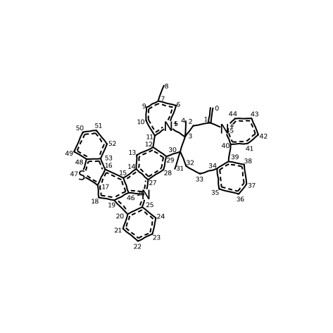 C=C1CC2(C)[n+]3cc(C)ccc3-c3cc4c5c6c(cc7c8ccccc8n(c4cc3C2(C)CCc2ccccc2-c2cccc[n+]21)c75)sc1ccccc16